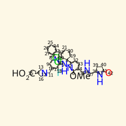 COc1nc(C2(Nc3nccc(CN4CC(C(=O)O)C4)c3F)C=CC=C(c3ccccc3)C2(Cl)Cl)ccc1CNCC1CCC(=O)N1